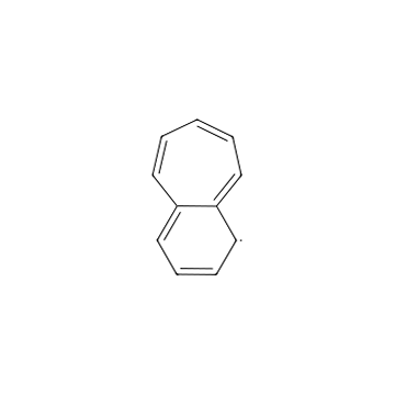 [CH]1C=CC=C2C=CC=CC=C12